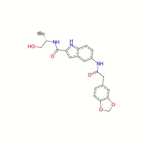 CC(C)(C)[C@@H](CO)NC(=O)c1cc2cc(NC(=O)Cc3ccc4c(c3)OCO4)ccc2[nH]1